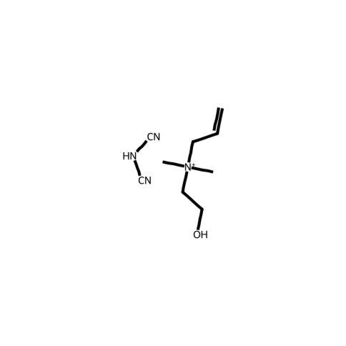 C=CC[N+](C)(C)CCO.N#CNC#N